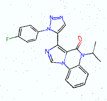 CC(C)n1c(=O)c2c(-c3cnnn3-c3ccc(F)cc3)ncn2c2ccccc21